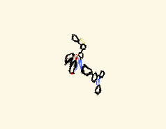 c1ccc(-n2c3ccccc3c3cc(-c4ccc(N(c5ccc(-c6ccc7sc8ccccc8c7c6)cc5)c5cccc6c5oc5ccccc56)cc4)ccc32)cc1